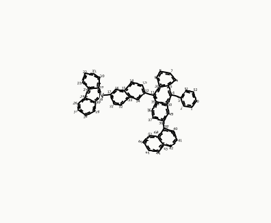 c1ccc(-c2c3ccccc3c(-c3ccc4cc(-n5c6ccccc6c6ccccc65)ccc4c3)c3ccc(-c4cccc5ccccc45)cc23)cc1